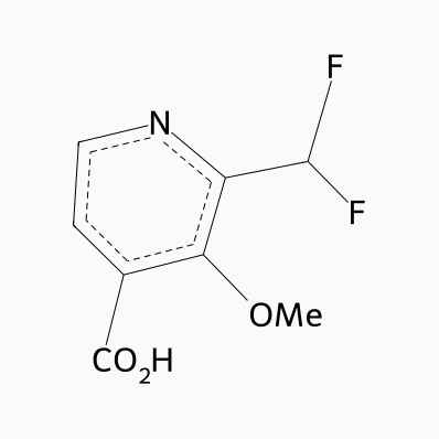 COc1c(C(=O)O)ccnc1C(F)F